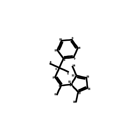 C/C(=C/C(C)(C)c1ccccc1)n1c(C)ccc1C